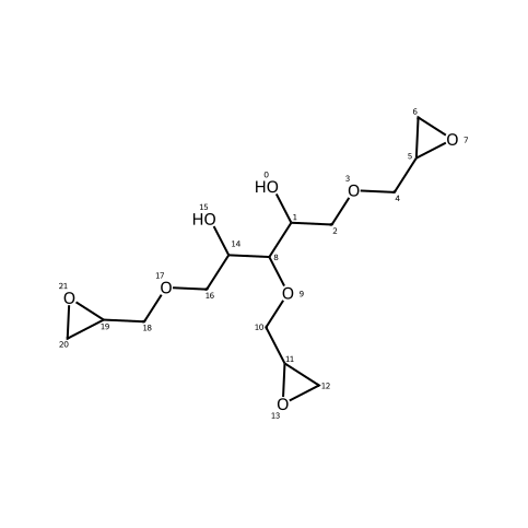 OC(COCC1CO1)C(OCC1CO1)C(O)COCC1CO1